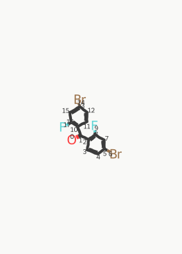 O=C(c1ccc(Br)cc1F)c1ccc(Br)cc1F